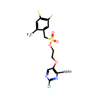 CNc1nc(Cl)ncc1OCCOS(=O)(=O)Cc1cc(F)c(F)cc1C(F)(F)F